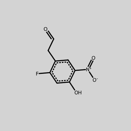 O=CCc1cc([N+](=O)[O-])c(O)cc1F